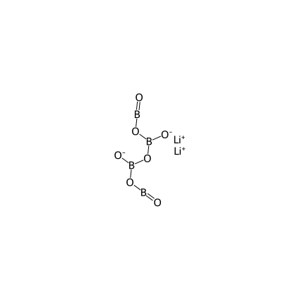 O=BOB([O-])OB([O-])OB=O.[Li+].[Li+]